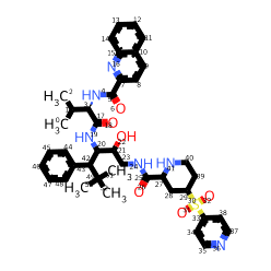 CC(C)[C@H](NC(=O)c1ccc2ccccc2n1)C(=O)NC(C(O)CNC(=O)C1CC(S(=O)(=O)c2ccncc2)CCN1)C(c1ccccc1)C(C)(C)C